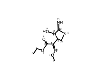 CCOC(=O)C(=NOC)C1CSC(=N)N1O